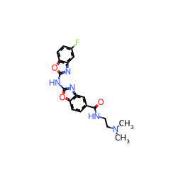 CN(C)CCNC(=O)c1ccc2oc(Nc3nc4cc(F)ccc4o3)nc2c1